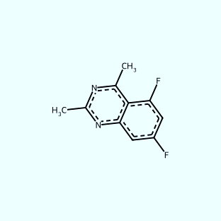 Cc1nc(C)c2c(F)cc(F)cc2n1